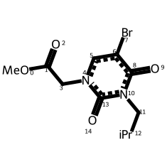 COC(=O)Cn1cc(Br)c(=O)n(CC(C)C)c1=O